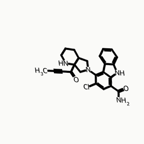 CC#CC(=O)C12CN(c3c(Cl)cc(C(N)=O)c4[nH]c5ccccc5c34)CC1CCCN2